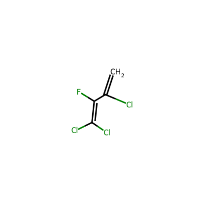 C=C(Cl)C(F)=C(Cl)Cl